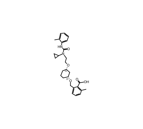 Cc1ccccc1NC(=O)N(CCO[C@H]1CCC[C@@H](OCc2cccc(C)c2C(=O)O)C1)C1CC1